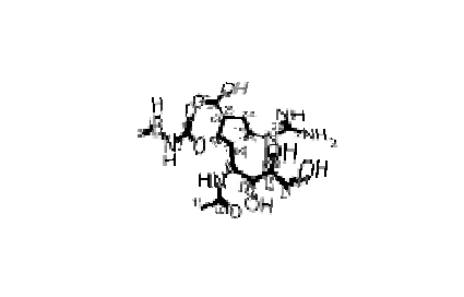 CBNC(=O)O[C@H]1[C@@H]([C@H](NC(C)=O)[C@@H](O)[C@@H](O)CO)[C@H](NC(=N)N)C[C@@H]1C(=O)O